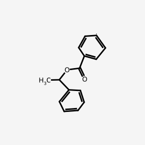 CC(OC(=O)c1cc[c]cc1)c1ccccc1